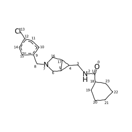 O=C(NCC1C2CN(Cc3ccc(Cl)cc3)CC12)C1CCCCC1